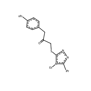 CCCc1ccc(CC(=O)CSc2nnc(C(C)C)n2CC)cc1